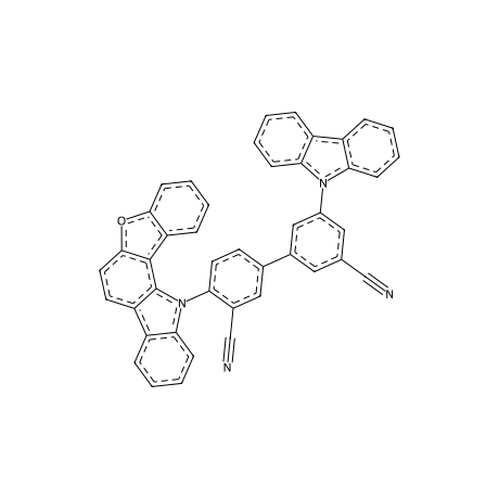 N#Cc1cc(-c2ccc(-n3c4ccccc4c4ccc5oc6ccccc6c5c43)c(C#N)c2)cc(-n2c3ccccc3c3ccccc32)c1